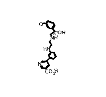 O=C(O)c1cncc(-c2cccc(NCCNC[C@H](O)c3cccc(Cl)c3)c2)c1